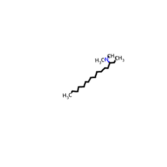 CCCCCCCCCCCCCC(CC)N(C)C